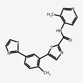 Cc1cnccc1NC(=O)c1ncc(-c2cc(-c3nccs3)ccc2C)s1